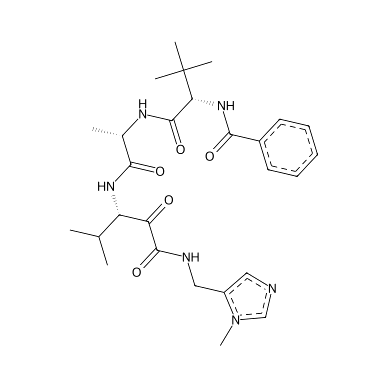 CC(C)[C@H](NC(=O)[C@H](C)NC(=O)[C@@H](NC(=O)c1ccccc1)C(C)(C)C)C(=O)C(=O)NCc1cncn1C